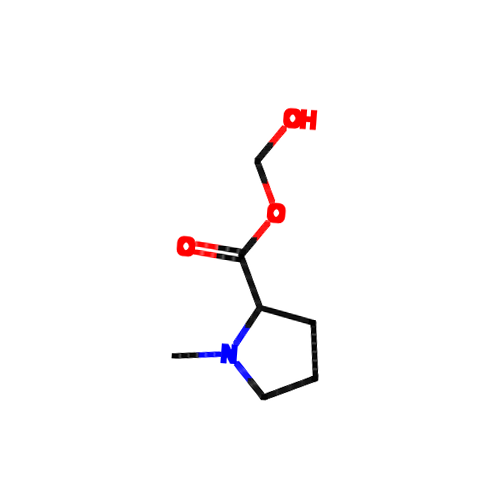 CN1CCCC1C(=O)OCO